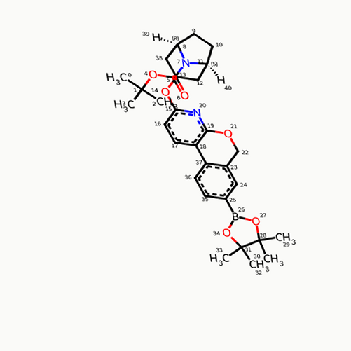 CC(C)(C)OC(=O)N1[C@@H]2CC[C@H]1CC(Oc1ccc3c(n1)OCc1cc(B4OC(C)(C)C(C)(C)O4)ccc1-3)C2